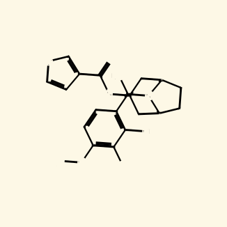 COc1ccc(C(C)N2C3CCC2CC(NC(=O)c2ccoc2)C3)c(C)c1C